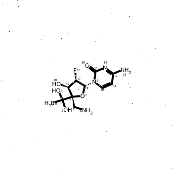 BC(O)(O)[C@@]1(CN)O[C@@H](n2ccc(N)nc2=O)[C@H](F)[C@@H]1O